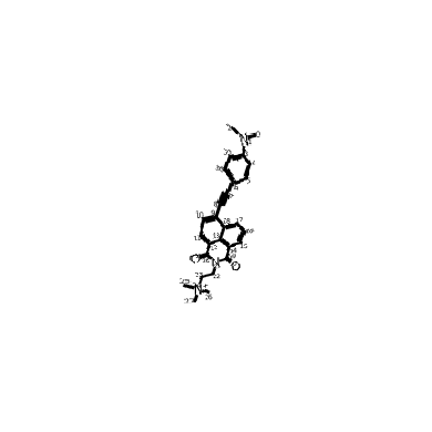 CN(C)c1ccc(C#Cc2ccc3c4c(cccc24)C(=O)N(CC[N+](C)(C)C)C3=O)cc1